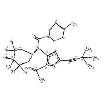 [2H]C1([2H])C[C@H](N(C(=O)C2CCC(C)CC2)c2cc(C#CC(C)(C)C)sc2C(=O)O)CC([2H])([2H])[C@@]1([2H])O